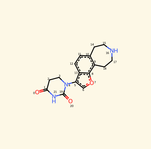 O=C1CCN(c2coc3c4c(ccc23)CCNCC4)C(=O)N1